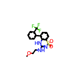 COCCNC1=NS(=O)(=O)c2cccc(-c3ccccc3C(F)(F)F)c2N1